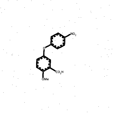 COc1ccc(Oc2ccc([N+](=O)[O-])cc2)cc1C(=O)O